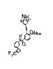 COc1ccc(C(=O)Nc2cccc(OC(F)(F)F)c2)cc1C#Cc1cnc(N)nc1